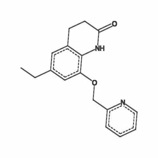 CCc1cc2c(c(OCc3ccccn3)c1)NC(=O)CC2